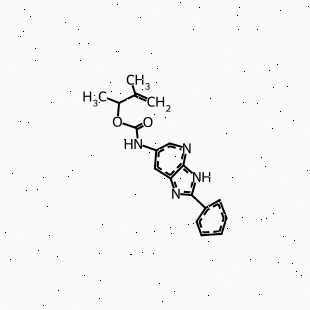 C=C(C)C(C)OC(=O)Nc1cnc2[nH]c(-c3ccccc3)nc2c1